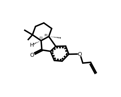 C=CCOc1ccc2c(c1)[C@]1(C)CCCC(C)(C)[C@@H]1C2=O